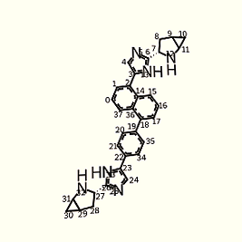 c1cc(-c2cnc([C@@H]3CC4CC4N3)[nH]2)c2cccc(-c3ccc(-c4cnc([C@@H]5CC6CC6N5)[nH]4)cc3)c2c1